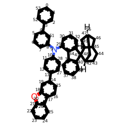 c1ccc(-c2cccc(N(c3ccc(-c4ccc5c(c4)oc4ccccc45)cc3)c3cccc4c3-c3ccccc3C43[C@H]4CCC5C[C@@H](C4)C[C@H]53)c2)cc1